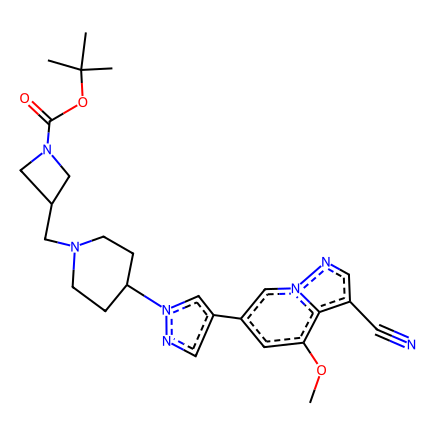 COc1cc(-c2cnn(C3CCN(CC4CN(C(=O)OC(C)(C)C)C4)CC3)c2)cn2ncc(C#N)c12